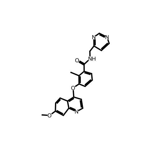 COc1ccc2c(Oc3cccc(C(=O)NCc4ccncn4)c3C)ccnc2c1